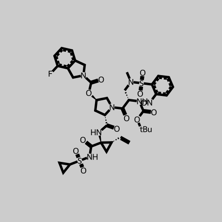 C=C[C@@H]1C[C@]1(NC(=O)[C@@H]1C[C@@H](OC(=O)N2Cc3cccc(F)c3C2)CN1C(=O)[C@H](CN(C)S(=O)(=O)c1ccccc1N=O)NC(=O)OC(C)(C)C)C(=O)NS(=O)(=O)C1CC1